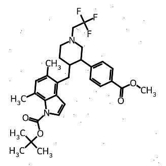 COC(=O)c1ccc(C2CN(CC(F)(F)F)CCC2Cc2c(C)cc(C)c3c2ccn3C(=O)OC(C)(C)C)cc1